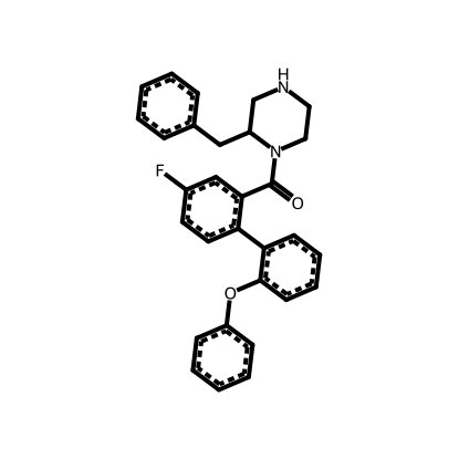 O=C(c1cc(F)ccc1-c1ccccc1Oc1ccccc1)N1CCNCC1Cc1ccccc1